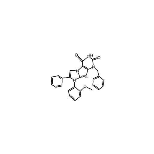 COc1ccccc1-n1c(-c2ccccc2)cn2c3c(=O)[nH]c(=O)n(Cc4ccccc4)c3nc12